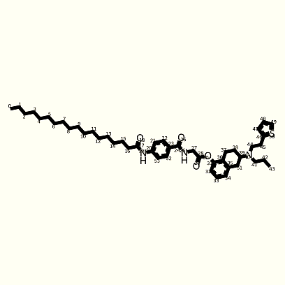 CCCCCCCCCCCCCCCCCC(=O)Nc1ccc(C(=O)NCC(=O)Oc2cccc3c2CCC(N(CCC)CCc2cccs2)C3)cc1